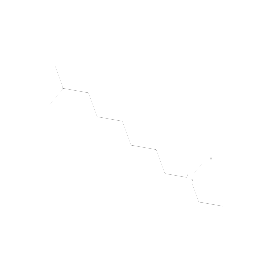 CCN(O)CCCCCCC(C)C